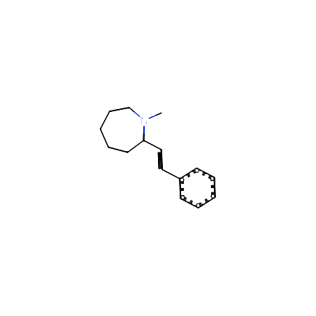 CN1CCCCCC1/C=C/c1ccccc1